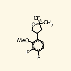 COc1c(C2COC(C)(C(F)(F)F)C2)ccc(F)c1F